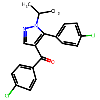 CC(C)n1ncc(C(=O)c2ccc(Cl)cc2)c1-c1ccc(Cl)cc1